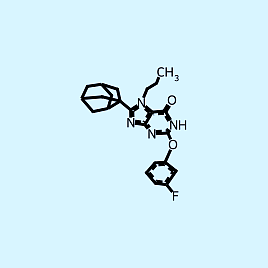 CCCn1c(C23CC4CC(CC2C4)C3)nc2nc(Oc3cccc(F)c3)[nH]c(=O)c21